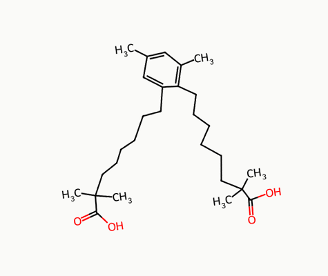 Cc1cc(C)c(CCCCCCC(C)(C)C(=O)O)c(CCCCCCC(C)(C)C(=O)O)c1